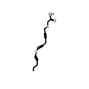 CCCC#CCC#CCC#CCSCC(=O)O